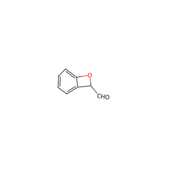 O=CC1Oc2ccccc21